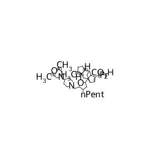 CCCCCC1CC(C23C[C@@H]4[C@H](C)CC[C@H]4C4CC2C=C(C(C)C)C43C(=O)O)OC1CN1CCC(N2C[C@@H](C)O[C@@H](C)C2)CC1